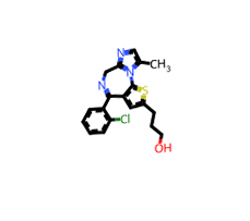 Cc1cnc2n1-c1sc(CCCO)cc1C(c1ccccc1Cl)=NC2